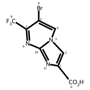 O=C(O)c1cn2cc(Br)c(C(F)(F)F)nc2n1